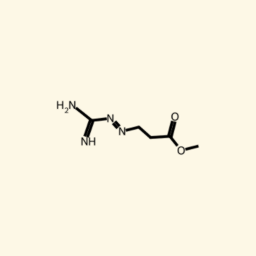 COC(=O)CCN=NC(=N)N